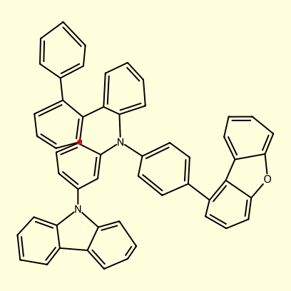 c1ccc(-c2ccccc2-c2ccccc2N(c2ccc(-c3cccc4oc5ccccc5c34)cc2)c2cccc(-n3c4ccccc4c4ccccc43)c2)cc1